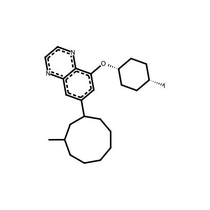 CC1CCCCCCC(c2cc(O[C@H]3CC[C@@H](I)CC3)c3nccnc3c2)C1